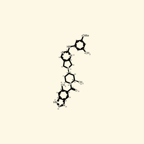 COc1cc(C)cc(Nc2ncc3c(n2)CN([C@@H]2CCN(C(=O)c4cc5nn[nH]c5cc4C)[C@H](C)C2)C3)c1